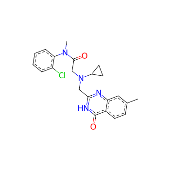 Cc1ccc2c(=O)[nH]c(CN(CC(=O)N(C)c3ccccc3Cl)C3CC3)nc2c1